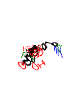 CNc1cc(Cc2ccc([C@@H]3O[C@@H]4C[C@H]5[C@@H]6C[C@H](F)C7=CC(=O)C=C[C@]7(C)[C@@]6(F)[C@@H](O)C[C@]5(C)[C@]4(C(=O)CO)O3)cc2)ccc1Cl